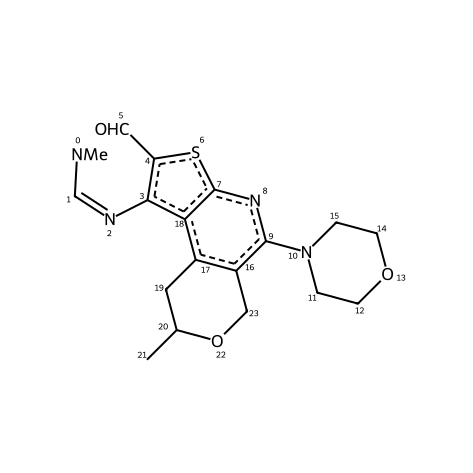 CN/C=N\c1c(C=O)sc2nc(N3CCOCC3)c3c(c12)CC(C)OC3